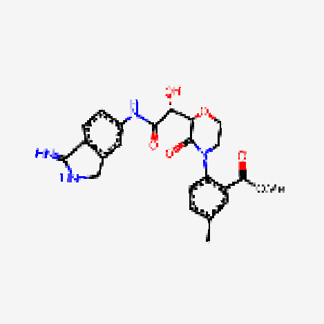 COC(=O)c1cc(C)ccc1N1CCO[C@H]([C@@H](O)C(=O)Nc2ccc3c(c2)CNC3=N)C1=O